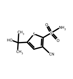 CC(C)(O)c1cc(C#N)c(S(N)(=O)=O)s1